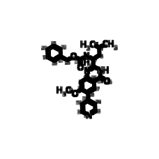 COc1cc2nc(C(CC(C)C)NC(=O)OCc3ccccc3)[nH]c(=O)c2cc1-c1ccncc1